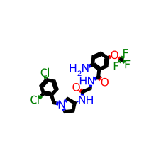 Nc1ccc(OC(F)(F)F)cc1C(=O)NCC(=O)N[C@@H]1CCN(Cc2ccc(Cl)cc2Cl)C1